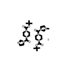 CC(C)(C)OC(=O)N1CCN(C(=O)n2ccnc2)CC1.C[n+]1ccn(C(=O)N2CCN(C(=O)OC(C)(C)C)CC2)c1.[I-]